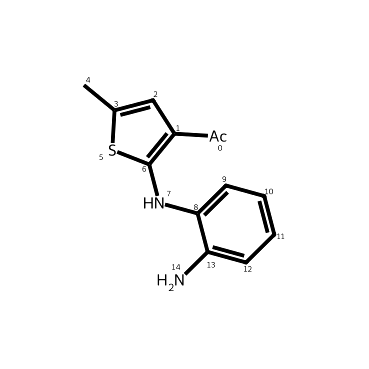 CC(=O)c1cc(C)sc1Nc1ccccc1N